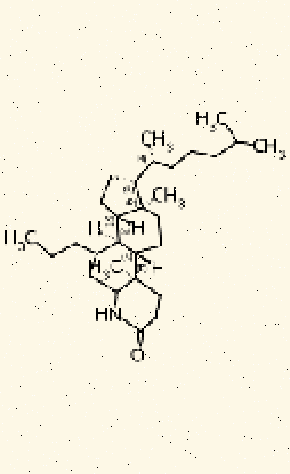 CCCC1CC2NC(=O)CC[C@]2(C)[C@H]2CC[C@]3(C)[C@@H]([C@H](C)CCCC(C)C)CC[C@H]3[C@H]12